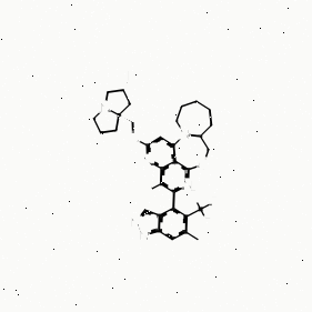 Cc1cc2[nH]ncc2c(-c2nc3c4c(cc(OC[C@@]56CCCN5C[C@H](F)C6)nc4c2F)N2CCCCCC2CO3)c1C(F)(F)F